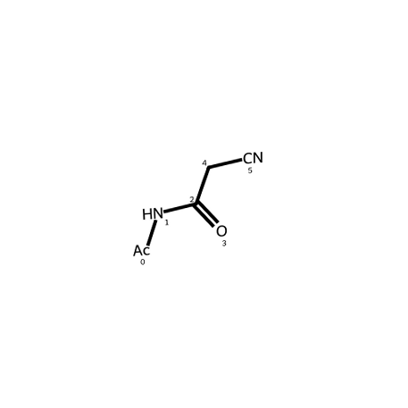 CC(=O)NC(=O)CC#N